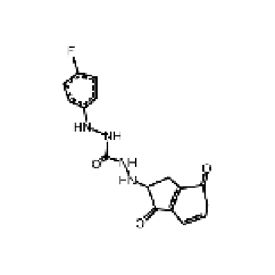 O=C(NNc1ccc(F)cc1)NNC1CC2=C(C=CCC2=O)C1=O